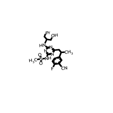 CC(C)CC(CO)Nc1nc(CC(C)c2ccc(F)c(C#N)c2)nc(NS(C)(=O)=O)n1